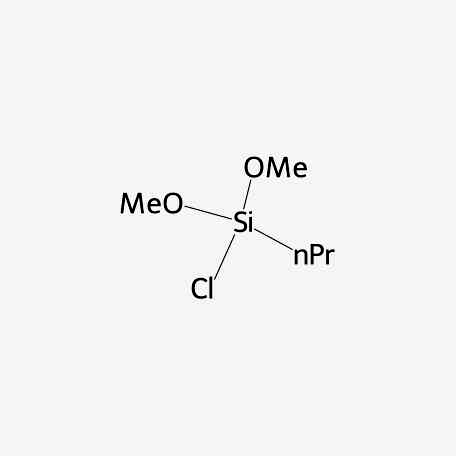 [CH2]CC[Si](Cl)(OC)OC